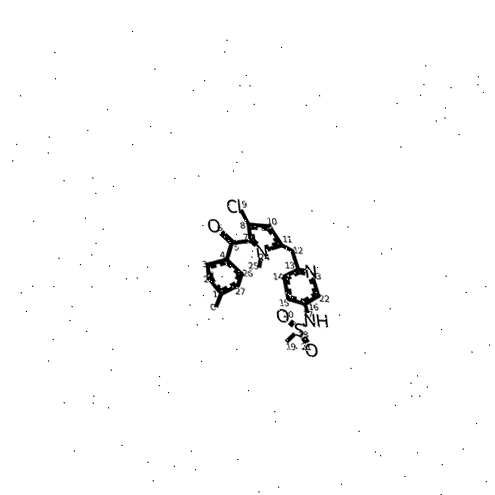 Cc1ccc(C(=O)c2c(Cl)cc(Cc3ccc(NS(C)(=O)=O)cn3)n2C)cc1